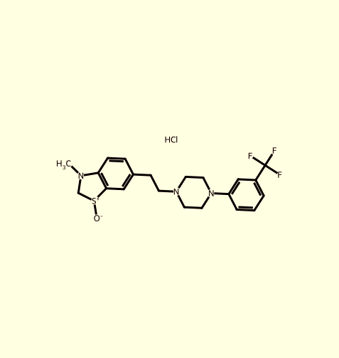 CN1C[S+]([O-])c2cc(CCN3CCN(c4cccc(C(F)(F)F)c4)CC3)ccc21.Cl